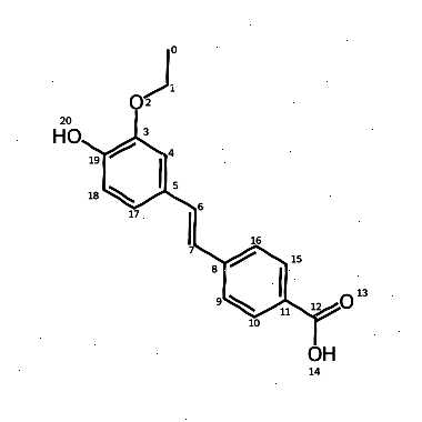 CCOc1cc(/C=C/c2ccc(C(=O)O)cc2)ccc1O